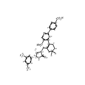 COc1cnc(-c2ccc(C(=O)O)cc2)nc1C1=C(CN2C(=O)O[C@H](c3cc(C(F)(F)F)cc(C(F)(F)F)c3)[C@@H]2C)CC(C)(C)CC1